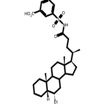 CC[C@H]1CC2C3CC[C@H]([C@H](C)CCC(=O)NS(=O)(=O)c4cccc(C(=O)O)c4)[C@@]3(C)CCC2[C@@]2(C)CCCC[C@@H]12